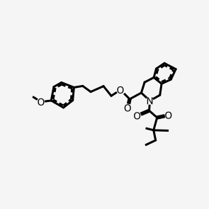 CCC(C)(C)C(=O)C(=O)N1Cc2ccccc2CC1C(=O)OCCCCc1ccc(OC)cc1